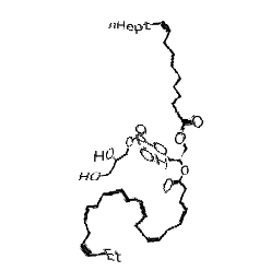 CC/C=C\C/C=C\C/C=C\C/C=C\C/C=C\C/C=C\CCC(=O)O[C@H](COC(=O)CCCCCCC/C=C\CCCCCCC)COP(=O)(O)OC[C@@H](O)CO